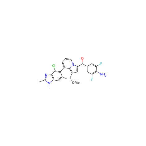 COCc1cc(C(=O)c2cc(F)c(N)c(F)c2)n2cccc(-c3c(C)cc4c(nc(C)n4C)c3Cl)c12